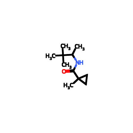 CC(NC(=O)C1(C)CC1)C(C)(C)C